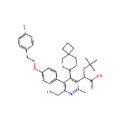 Cc1nc(CO)c(-c2ccc(OCCc3ccc(F)cc3)cc2)c(N2CCC3(CCC3)CC2)c1C(OC(C)(C)C)C(=O)O